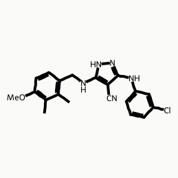 COc1ccc(CNc2[nH]nc(Nc3cccc(Cl)c3)c2C#N)c(C)c1C